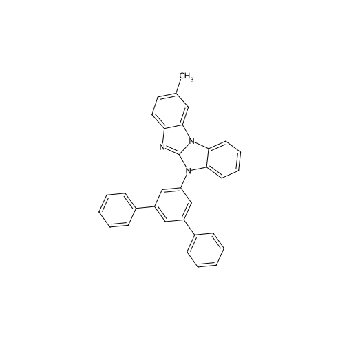 Cc1ccc2nc3n(-c4cc(-c5ccccc5)cc(-c5ccccc5)c4)c4ccccc4n3c2c1